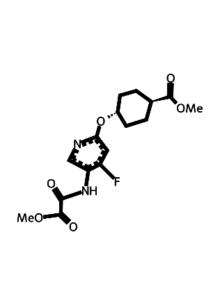 COC(=O)C(=O)Nc1cnc(O[C@H]2CC[C@H](C(=O)OC)CC2)cc1F